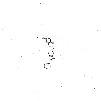 CCCNC(=O)c1ccc2c(c1)C(=O)N(CC1Cc3c(sc(NC4CCCCO4)c3C(=O)O)CO1)C2=O